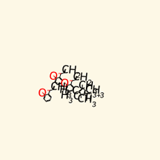 C=CCc1ccccc1[O-].C=CCc1ccccc1[O-].C=CCc1ccccc1[O-].CC1=C(C)C(C)(C)[C]([Ti+3])=C1C